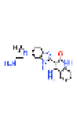 CN(CCN)c1ccc2nc(-c3c(N)c4ccccc4[nH]c3=O)[nH]c2c1